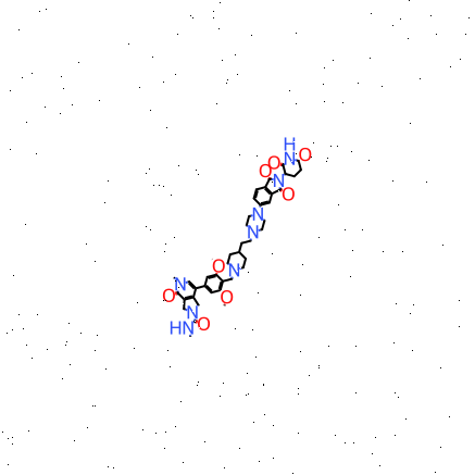 CNC(=O)N1Cc2c(-c3cc(OC)c(CN4CCC(CCN5CCN(c6ccc7c(c6)C(=O)N(C6CCC(=O)NC6=O)C7=O)CC5)CC4)c(OC)c3)cn(C)c(=O)c2C1